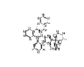 CCCC1(c2nc3c(N(Cc4ccccc4)Cc4ccccc4)nc4ccccc4c3n2CC(C)C)OCCCO1